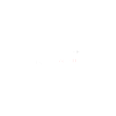 CC#CCC(O)CC(C)O